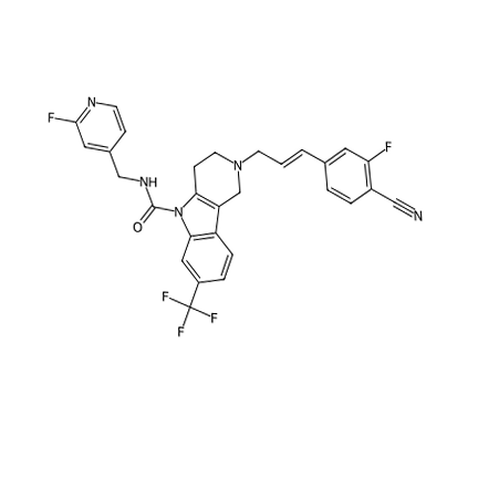 N#Cc1ccc(C=CCN2CCc3c(c4ccc(C(F)(F)F)cc4n3C(=O)NCc3ccnc(F)c3)C2)cc1F